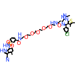 Cc1sc2c(c1C)C(c1ccc(Cl)cc1)=N[C@@H](CC(=O)NCCOCCOCCOCCOCCOCCNC(=O)c1cccc(S(=O)(=O)Nc3ccc(C)c4c(C#N)c[nH]c34)c1)c1nnc(C)n1-2